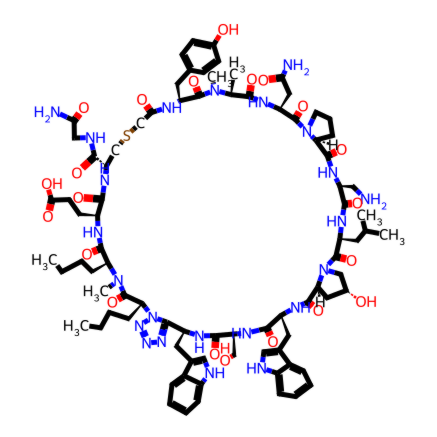 CCCC[C@H]1C(=O)N[C@@H](CCC(=O)O)C(=O)N[C@H](C(=O)NCC(N)=O)CSCC(=O)N[C@@H](Cc2ccc(O)cc2)C(=O)N(C)[C@@H](C)C(=O)N[C@@H](CC(N)=O)C(=O)N2CCC[C@H]2C(=O)N[C@@H](CN)C(=O)N[C@@H](CC(C)C)C(=O)N2C[C@H](O)C[C@H]2C(=O)N[C@@H](Cc2c[nH]c3ccccc23)C(=O)N[C@@H](CO)C(=O)N[C@@H](Cc2c[nH]c3ccccc23)c2nnnn2[C@@H](CCCC)C(=O)N1C